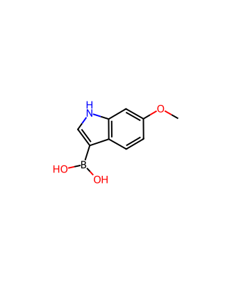 COc1ccc2c(B(O)O)c[nH]c2c1